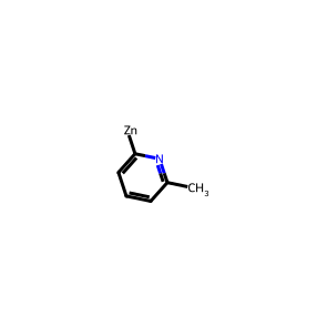 Cc1ccc[c]([Zn])n1